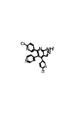 Clc1ccc(-c2nc3[nH]ncc3c(-c3ccc(Cl)nc3)c2-c2ccncc2)cn1